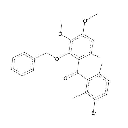 COc1cc(C)c(C(=O)c2c(C)ccc(Br)c2C)c(OCc2ccccc2)c1OC